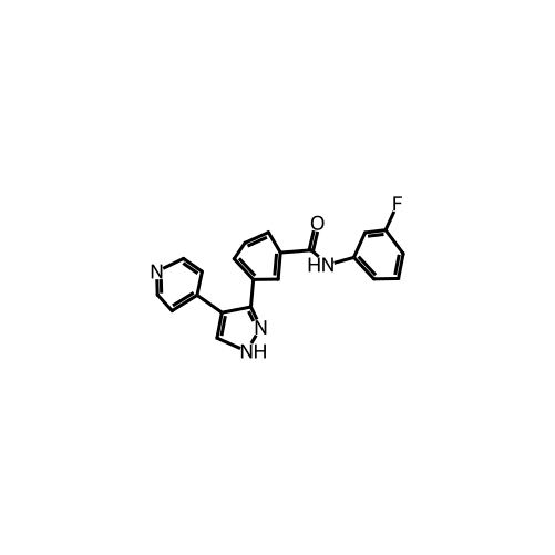 O=C(Nc1cccc(F)c1)c1cccc(-c2n[nH]cc2-c2ccncc2)c1